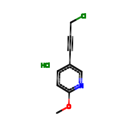 COc1ccc(C#CCCl)cn1.Cl